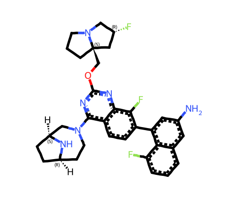 Nc1cc(-c2ccc3c(N4CC[C@H]5CC[C@@H](C4)N5)nc(OC[C@@]45CCCN4C[C@H](F)C5)nc3c2F)c2c(F)cccc2c1